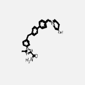 Cc1nc(C(N)=O)nn1-c1ccc(Cc2ccc(-c3ccc(CN4CC[C@@H](O)C4)cc3)cc2)cc1